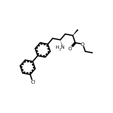 CCOC(=O)[C@H](C)C[C@H](N)Cc1ccc(-c2cccc(Cl)c2)cc1